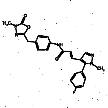 Cn1ncc(C=CC(=O)Nc2ccc(Cc3nn(C)c(=O)o3)cc2)c1-c1ccc(F)cc1